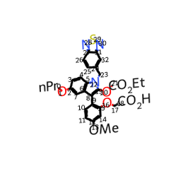 CCCOc1ccc2c(c1)c(-c1ccc(OC)cc1OCC(=O)O)c(OC(=O)OCC)n2Cc1ccc2nsnc2c1